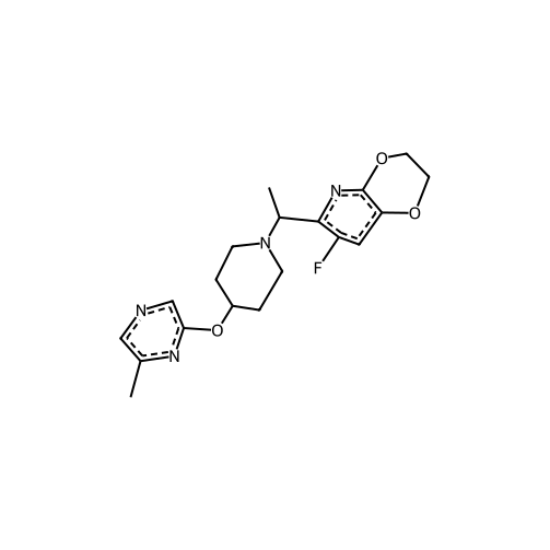 Cc1cncc(OC2CCN(C(C)c3nc4c(cc3F)OCCO4)CC2)n1